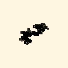 Cc1ncsc1-c1ccc([C@H](C)NC(=O)[C@@H]2C[C@@H](O)CN2C(=O)[C@@H](C(C)C)n2cc(-c3cc(O[C@H]4C[C@H](NC(=O)C[C@@H]5N=C(c6ccc(Cl)cc6)c6c(sc(C)c6C)-n6c(C)nnc65)C4)ccn3)cn2)cc1